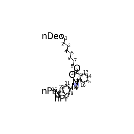 CCCCCCCCCCCCCCCCCCOC(=O)c1ccccc1/N=N/c1ccc(N(CCC)CCC)cc1